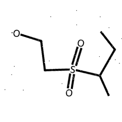 CCC(C)S(=O)(=O)CC[O]